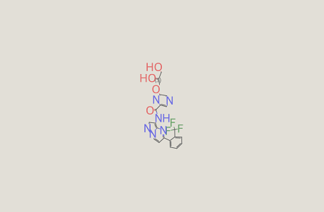 O=C(Nc1cnn2ccc(-c3ccccc3C(F)(F)F)nc12)c1cncc(OC[C@@H](O)CO)n1